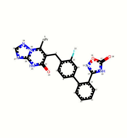 CCCc1c(Cc2ccc(-c3ccccc3-c3noc(=O)[nH]3)cc2F)c(=O)[nH]c2ncnn12